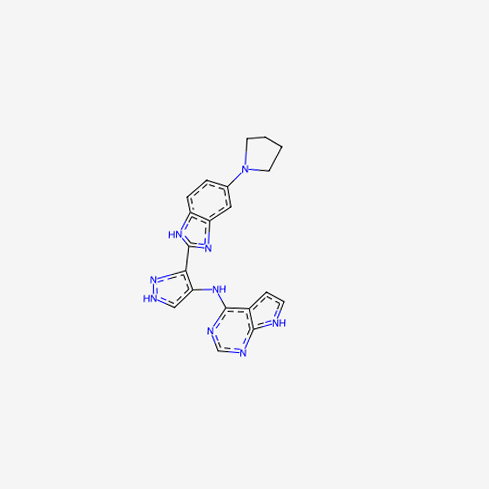 c1nc(Nc2c[nH]nc2-c2nc3cc(N4CCCC4)ccc3[nH]2)c2cc[nH]c2n1